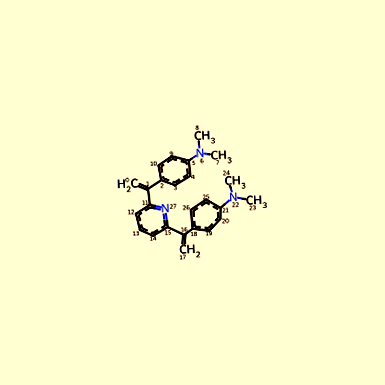 C=C(c1ccc(N(C)C)cc1)c1cccc(C(=C)c2ccc(N(C)C)cc2)n1